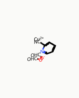 N#Cc1ccccn1.O=C[O-].O=C[O-].[Cu+2]